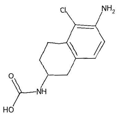 Nc1ccc2c(c1Cl)CCC(NC(=O)O)C2